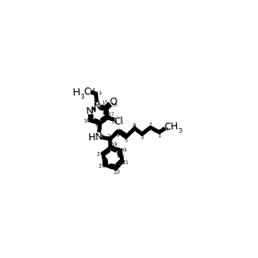 CCCCCC=CC(Nc1cnn(CC)c(=O)c1Cl)c1ccccc1